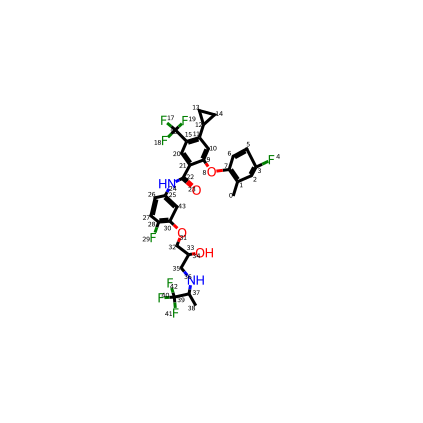 Cc1cc(F)ccc1Oc1cc(C2CC2)c(C(F)(F)F)cc1C(=O)Nc1ccc(F)c(OCC(O)CNC(C)C(F)(F)F)c1